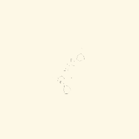 Cc1nn(-c2ccccc2)c(O)c1C=NNC(=S)Nc1cccc(C(=O)O)c1